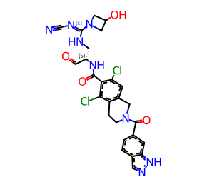 N#C/N=C(\NC[C@@H](C=O)NC(=O)c1c(Cl)cc2c(c1Cl)CCN(C(=O)c1ccc3cn[nH]c3c1)C2)N1CC(O)C1